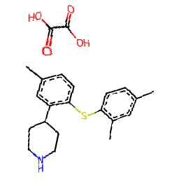 Cc1ccc(Sc2ccc(C)cc2C2CCNCC2)c(C)c1.O=C(O)C(=O)O